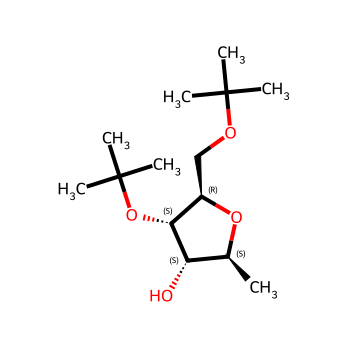 C[C@@H]1O[C@H](COC(C)(C)C)[C@@H](OC(C)(C)C)[C@H]1O